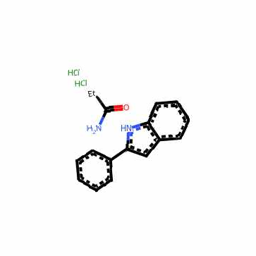 CCC(N)=O.Cl.Cl.c1ccc(-c2cc3ccccc3[nH]2)cc1